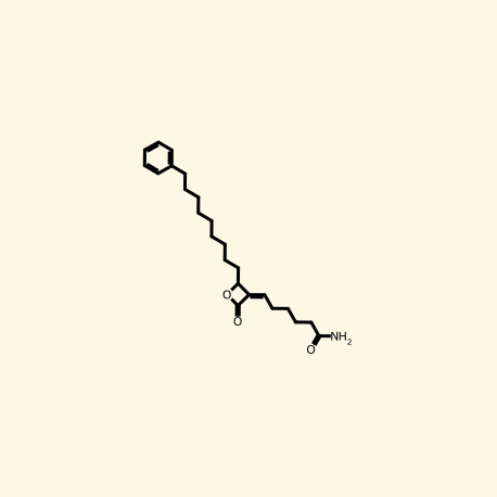 NC(=O)CCCC/C=C1\C(=O)OC1CCCCCCCCCc1ccccc1